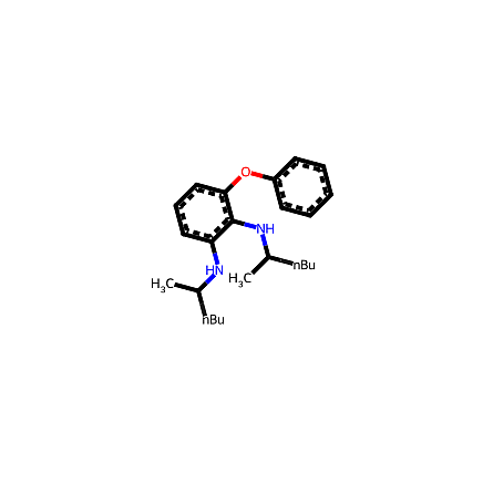 CCCCC(C)Nc1cccc(Oc2ccccc2)c1NC(C)CCCC